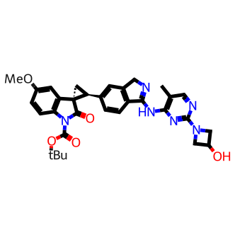 COc1ccc2c(c1)[C@]1(C[C@H]1c1ccc3c(c1)CN=C3Nc1nc(N3CC(O)C3)ncc1C)C(=O)N2C(=O)OC(C)(C)C